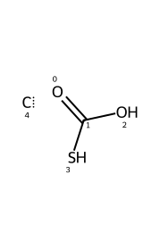 O=C(O)S.[C]